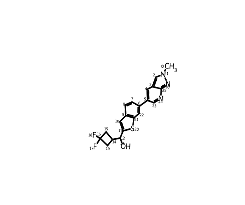 Cn1cc2cc(-c3ccc4cc(C(O)C5CC(F)(F)C5)sc4c3)cnc2n1